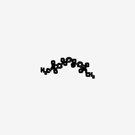 C=CCN1C(=O)c2ccc(C(=O)Oc3cccc(OC(=O)c4ccc5c(c4)C(=O)N(CC=C)C5=O)c3)cc2C1=O